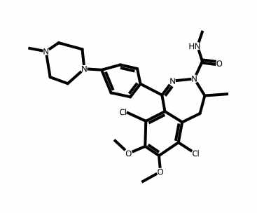 CNC(=O)N1N=C(c2ccc(N3CCN(C)CC3)cc2)c2c(Cl)c(OC)c(OC)c(Cl)c2CC1C